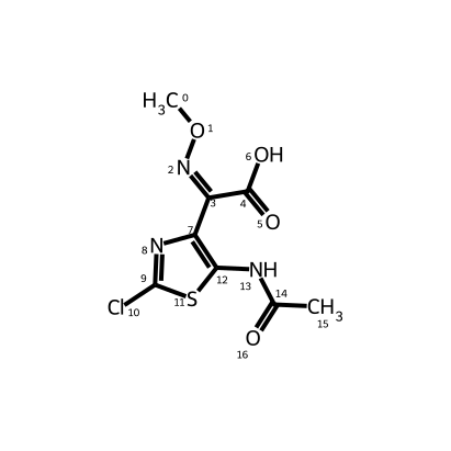 CON=C(C(=O)O)c1nc(Cl)sc1NC(C)=O